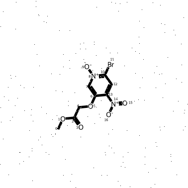 COC(=O)COc1c[n+]([O-])c(Br)cc1[N+](=O)[O-]